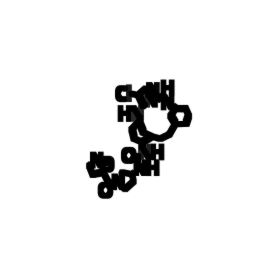 O=C(Nc1ccc2cc1CCc1cccc(c1)Nc1ncc(Cl)c(n1)N2)N[C@H]1CCN(C(=O)c2ccno2)C1